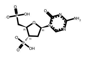 Nc1ncn([C@H]2C[C@H](P([O])(=O)O)[C@@H](CP([O])(=O)O)O2)c(=O)n1